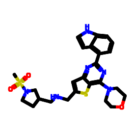 CS(=O)(=O)N1CCC(CNCc2cc3nc(-c4cccc5[nH]ccc45)nc(N4CCOCC4)c3s2)C1